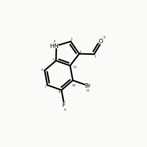 O=Cc1c[nH]c2ccc(F)c(Br)c12